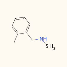 Cc1ccccc1CN[SiH3]